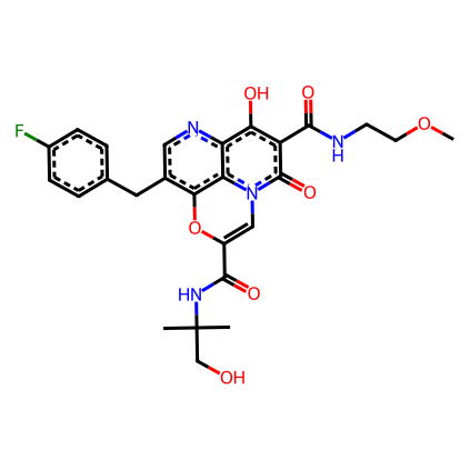 COCCNC(=O)c1c(O)c2ncc(Cc3ccc(F)cc3)c3c2n(c1=O)C=C(C(=O)NC(C)(C)CO)O3